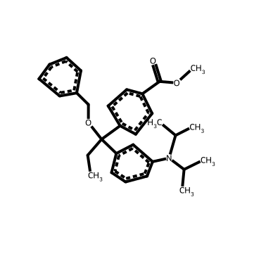 CCC(OCc1ccccc1)(c1ccc(C(=O)OC)cc1)c1cccc(N(C(C)C)C(C)C)c1